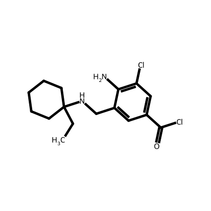 CCC1(NCc2cc(C(=O)Cl)cc(Cl)c2N)CCCCC1